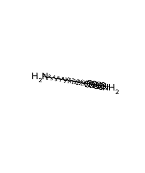 NCCCCCCCCCCCCCCCCCCOOOOOOOON